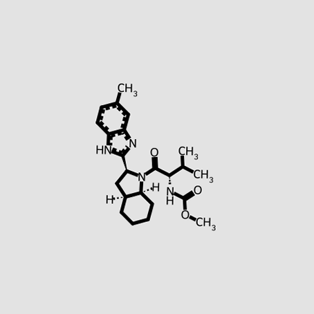 COC(=O)N[C@H](C(=O)N1[C@H](c2nc3cc(C)ccc3[nH]2)C[C@@H]2CCCC[C@@H]21)C(C)C